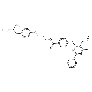 C=CCc1c(C)nc(-c2ccccc2)nc1Nc1ccc(C(=O)OCCCOc2ccc(C[C@H](N)C(=O)O)cc2)cc1